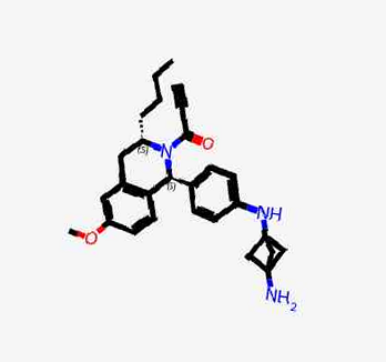 C#CC(=O)N1[C@@H](CCCC)Cc2cc(OC)ccc2[C@@H]1c1ccc(NC23CC(N)(C2)C3)cc1